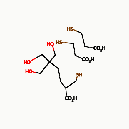 O=C(O)C(CS)CCC(CO)(CO)CO.O=C(O)CCS.O=C(O)CCS